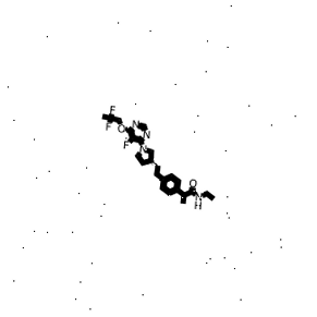 CCNC(=O)C(C)c1ccc(CC[C@@H]2CCN(c3ncnc(OCC(C)(F)F)c3F)C2)cc1